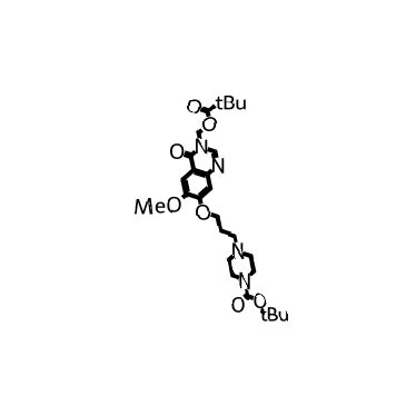 COc1cc2c(=O)n(COC(=O)C(C)(C)C)cnc2cc1OCCCN1CCN(C(=O)OC(C)(C)C)CC1